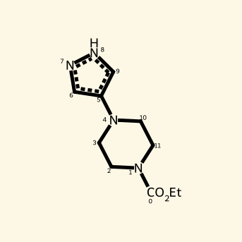 CCOC(=O)N1CCN(c2cn[nH]c2)CC1